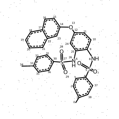 Cc1ccc(S(=O)(=O)Nc2ccc(Oc3ccc4ccccc4c3)cc2NS(=O)(=O)c2ccc(C)cc2)cc1